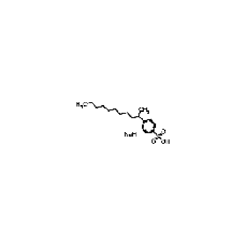 CCCCCCCCCC(C)c1ccc(S(=O)(=O)O)cc1.[NaH]